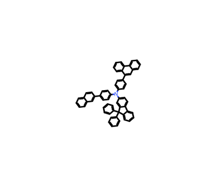 c1ccc(C2(c3ccccc3)c3ccccc3-c3ccc(N(c4ccc(-c5ccc6ccccc6c5)cc4)c4ccc(-c5cc6ccccc6c6ccccc56)cc4)cc32)cc1